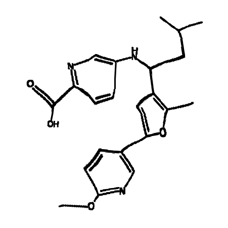 COc1ccc(-c2cc(C(CC(C)C)Nc3ccc(C(=O)O)nc3)c(C)o2)cn1